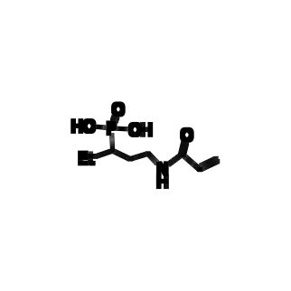 C=CC(=O)NCCC(CC)P(=O)(O)O